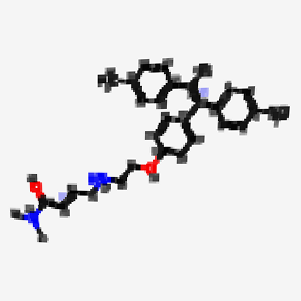 CC/C(=C(\c1ccc(N=O)cc1)c1ccc(OCCNC/C=C/C(=O)N(C)C)cc1)c1ccc(C(F)(F)F)cc1